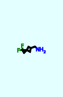 NCC1CC2(C1)CC2(F)F